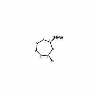 CN[C@@H]1CCCC[C@H](C)C1